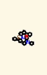 c1ccc(-n2c3ccccc3c3c(N(c4cccc5c4sc4ccccc45)c4cccc5ccc6c7ccccc7oc6c45)cccc32)cc1